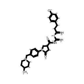 CC1CCN(Cc2ccc(N3CC(C(=O)NC(=N)SC(=N)CCc4ccc(Cl)cc4)CC3=O)cc2)CC1